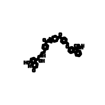 O=C(c1ccc(COc2cccc([C@](O)(C(=O)O)c3ccccc3)c2)cc1)N1CCC2(CC1)CN(C(=O)c1ccc(CCNC[C@H](O)c3ccc(O)c4[nH]c(=O)ccc34)cc1)C2